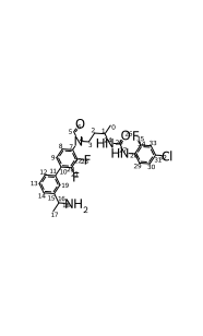 CC(CCN(C=O)c1ccc(-c2cccc(C(C)N)c2)c(F)c1F)NC(=O)Nc1ccc(Cl)cc1F